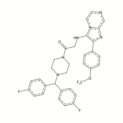 O=C(CNc1c(-c2ccc(OC(F)(F)F)cc2)nc2cnccn12)N1CCN(C(c2ccc(F)cc2)c2ccc(F)cc2)CC1